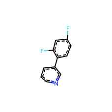 Fc1ccc(-c2cc[c]nc2)c(F)c1